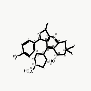 CC1OC(c2ccc(C(F)(F)F)cc2)c2c1nc1c(c2C2CCN(C(=O)O)CC2)[C@@H](O)CC(C)(C)C1